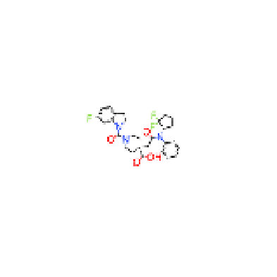 O=C(N1CCC(CC(=O)N(c2ccccc2)C2CCCC2(F)F)(C(=O)O)CC1)N1CCc2ccc(F)cc21